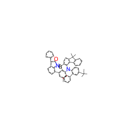 Cc1cc2c3c(c1)N(c1ccc(C(C)(C)C)cc1-c1ccccc1)c1c(ccc4c1-c1ccccc1C4(C)C)B3n1c3oc4ccccc4c3c3cccc-2c31